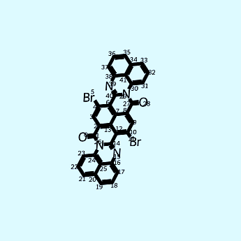 O=c1c2cc(Br)c3c4c(cc(Br)c(c24)c2nc4cccc5cccc(c54)n12)c(=O)n1c2cccc4cccc(nc31)c42